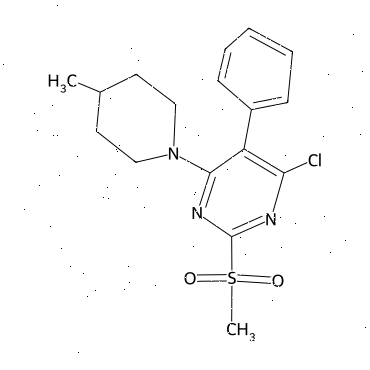 CC1CCN(c2nc(S(C)(=O)=O)nc(Cl)c2-c2ccccc2)CC1